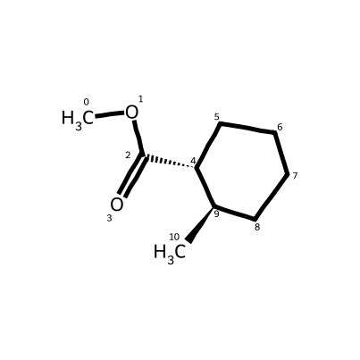 COC(=O)[C@@H]1CCCC[C@H]1C